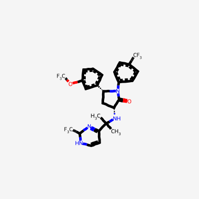 CC(C)(N[C@@H]1C[C@H](c2cccc(OC(F)(F)F)c2)N(c2ccc(C(F)(F)F)cc2)C1=O)C1=NC(C(F)(F)F)NC=C1